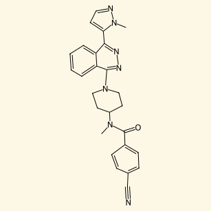 CN(C(=O)c1ccc(C#N)cc1)C1CCN(c2nnc(-c3ccnn3C)c3ccccc23)CC1